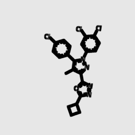 Cc1c(-c2nnc(C3CCC3)o2)nn(-c2ccc(Cl)c(Cl)c2)c1-c1ccc(Cl)cc1